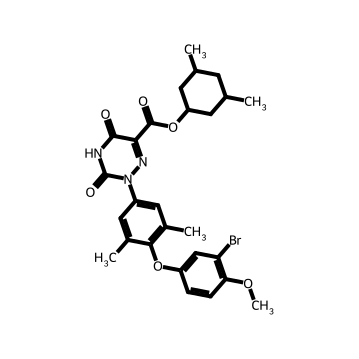 COc1ccc(Oc2c(C)cc(-n3nc(C(=O)OC4CC(C)CC(C)C4)c(=O)[nH]c3=O)cc2C)cc1Br